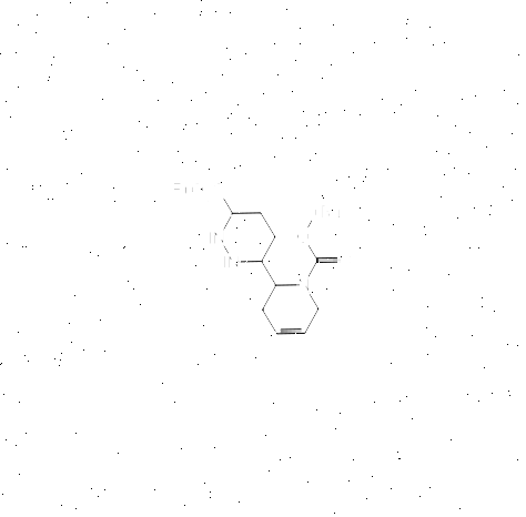 CCOC(=O)C1CCC(C2CC=CCN2C(=O)OC(C)(C)C)NN1